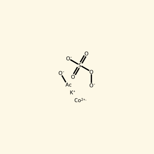 CC(=O)[O-].O=S(=O)([O-])O[O-].[Co+2].[K+]